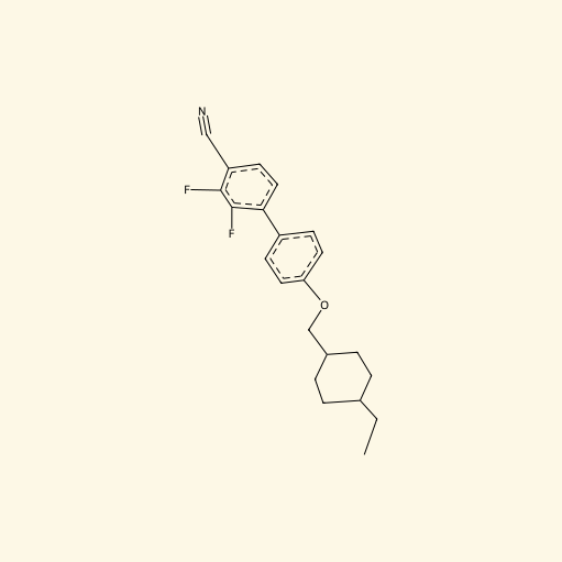 CCC1CCC(COc2ccc(-c3ccc(C#N)c(F)c3F)cc2)CC1